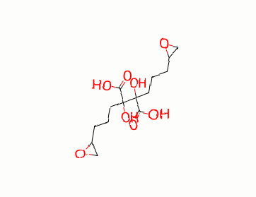 O=C(O)C(O)(CCCC1CO1)C(O)(CCCC1CO1)C(=O)O